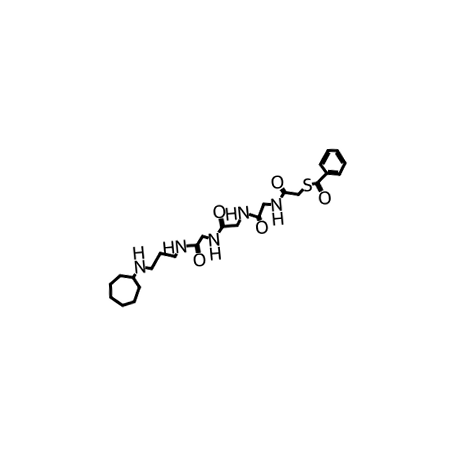 O=C(CNC(=O)CNC(=O)CNC(=O)CSC(=O)c1ccccc1)NCCCNC1CCCCCC1